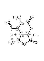 C[C@@H]1C(=O)C[C@H]2C(=O)O[C@H](C)[C@H]2[C@H]1C=O